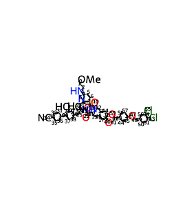 COCCNc1ccc(S(=O)(=O)N2Cc3cc4c(cc3C[C@H]2C(=O)N[C@@H](Cc2ccc(-c3ccc(C#N)cc3)cc2)C(=O)O)OCC(c2ccc(OCc3ccc(Cl)c(Cl)c3)cc2)O4)c(C)n1